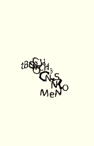 CNC(=O)c1csc(N2CCC(O[Si](C)(C)C(C)(C)C)CC2)n1